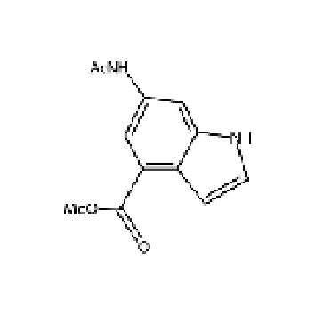 COC(=O)c1cc(NC(C)=O)cc2[nH]ccc12